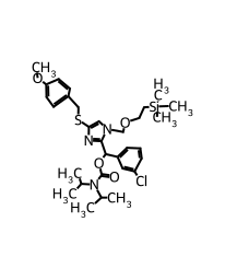 COc1ccc(CSc2cn(COCC[Si](C)(C)C)c(C(OC(=O)N(C(C)C)C(C)C)c3cccc(Cl)c3)n2)cc1